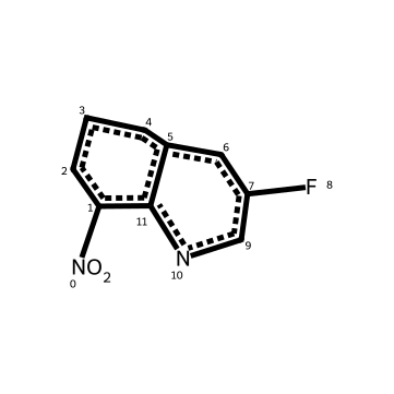 O=[N+]([O-])c1cccc2cc(F)cnc12